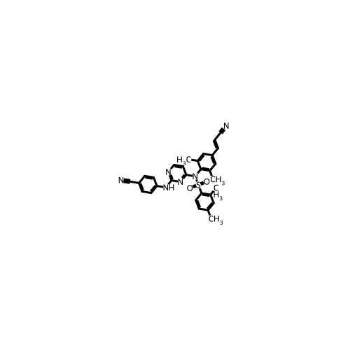 Cc1ccc(S(=O)(=O)N(c2ccnc(Nc3ccc(C#N)cc3)n2)c2c(C)cc(/C=C/C#N)cc2C)c(C)c1